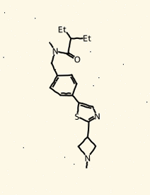 CCC(CC)C(=O)N(C)Cc1ccc(-c2cnc(C3CN(C)C3)s2)cc1